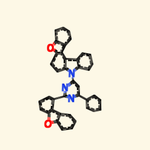 c1ccc(-c2cc(-n3c4ccccc4c4c5c(ccc43)oc3ccccc35)nc(-c3cccc4oc5ccccc5c34)n2)cc1